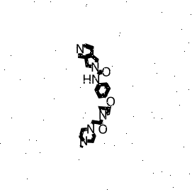 CN1CCN(CC(=O)N2CC(Oc3ccc(NC(=O)N4Cc5ccncc5C4)cc3)C2)CC1